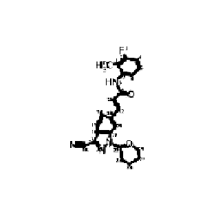 Cc1c(F)cccc1NC(=O)/C=C/c1ccc2c(C#N)nn(C3CCCCO3)c2c1